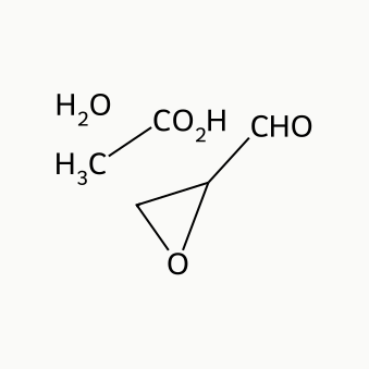 CC(=O)O.O.O=CC1CO1